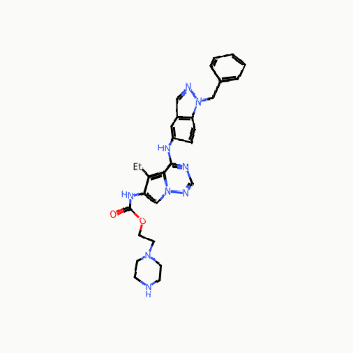 CCc1c(NC(=O)OCCN2CCNCC2)cn2ncnc(Nc3ccc4c(cnn4Cc4ccccc4)c3)c12